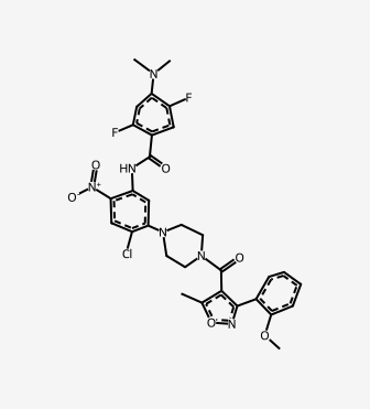 COc1ccccc1-c1noc(C)c1C(=O)N1CCN(c2cc(NC(=O)c3cc(F)c(N(C)C)cc3F)c([N+](=O)[O-])cc2Cl)CC1